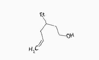 C=CCC(CC)CCO